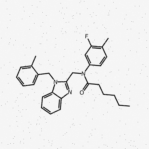 CCCCCC(=O)N(Cc1nc2ccccc2n1Cc1ccccc1C)c1ccc(C)c(F)c1